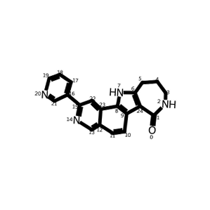 O=C1NCCCc2[nH]c3c(ccc4cnc(-c5cccnc5)cc43)c21